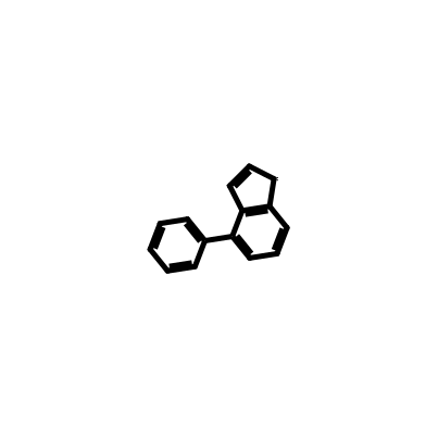 [C]1C=Cc2c1cccc2-c1ccccc1